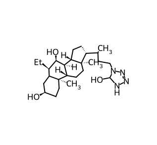 CC[C@@H]1C2C[C@H](O)CC[C@]2(C)[C@H]2CC[C@]3(C)[C@@H]([C@H](C)CCN4N=NNC4O)CC[C@H]3[C@@H]2[C@@H]1O